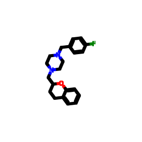 Fc1ccc(CN2CCN(CC3CCc4ccccc4O3)CC2)cc1